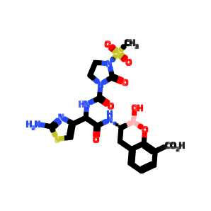 CS(=O)(=O)N1CCN(C(=O)NC(C(=O)N[C@H]2Cc3cccc(C(=O)O)c3OB2O)c2csc(N)n2)C1=O